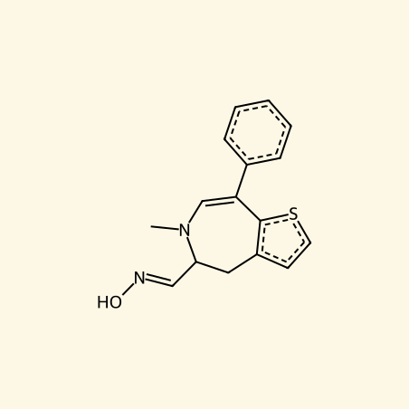 CN1C=C(c2ccccc2)c2sccc2CC1C=NO